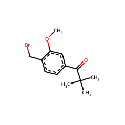 COc1cc(C(=O)C(C)(C)C)ccc1CBr